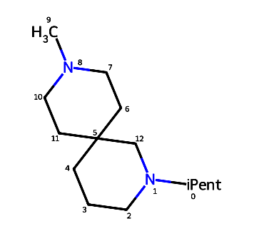 CCCC(C)N1CCCC2(CCN(C)CC2)C1